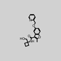 Cc1oc2ccc(OCc3ccccn3)cc2c1C(=O)NC1(CO)CCC1